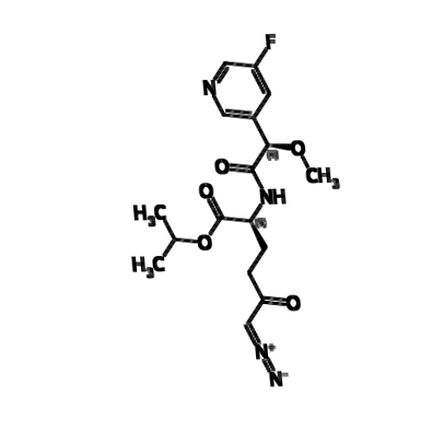 CO[C@@H](C(=O)N[C@@H](CCC(=O)C=[N+]=[N-])C(=O)OC(C)C)c1cncc(F)c1